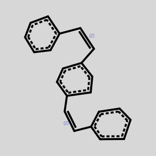 C(=C/c1ccc(/C=C\c2ccccc2)cc1)/c1ccccc1